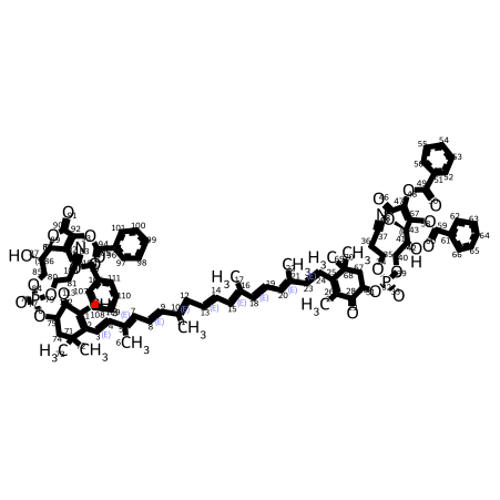 CC1=C(/C=C/C(C)=C/C=C/C(C)=C/C=C/C=C(C)/C=C/C=C(C)/C=C/C2=C(C)C(=O)C(OP(=O)(OCCC#N)OC[C@H](O)[C@H]3OC(=O)C(OC(=O)c4ccccc4)=C3OC(=O)c3ccccc3)CC2(C)C)C(C)(C)CC(OP(=O)(OCCC#N)OC[C@H](O)[C@H]2OC(=O)C(OC(=O)c3ccccc3)=C2OC(=O)c2ccccc2)C1=O